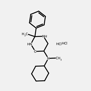 CN(C1CCCCC1)C1CNC(C)(c2ccccc2)NO1.Cl.Cl